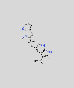 Cc1[nH]c2ncc(CC(C)(C)c3cc4cccnc4n3C)cc2c1C(C)C(C)C